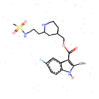 COC1=C(C(=O)OCC2CCNC(CCNS(C)(=O)=O)C2)c2cc(F)ccc2[NH+]1[O-]